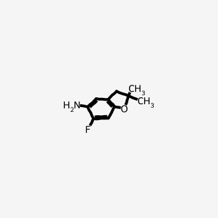 CC1(C)Cc2cc(N)c(F)cc2O1